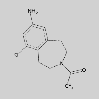 Nc1cc(Cl)c2c(c1)CCN(C(=O)C(F)(F)F)CC2